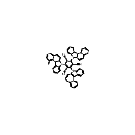 Cc1cccc2ccc3c(c4ccccc4n3-c3c(C#N)c(-n4c5c(c6ccccc64)-c4ccccc4CC=C5)c(C#N)c(-n4c5ccccc5c5c6ccccc6ccc54)c3C#N)c12